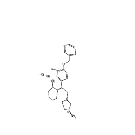 Cl.Cl.N[C@H]1CCN(CC(c2ccc(OCc3ccccc3)c(Cl)c2)C2CCCCC2O)C1